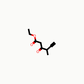 C#CC(C)C(=O)CC(=O)OCC